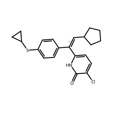 O=c1[nH]c(/C(=C\C2CCCC2)c2ccc(SC3CC3)cc2)ccc1Cl